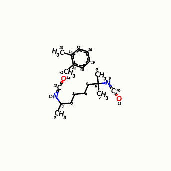 CC(CCCCC(C)(C)N=C=O)N=C=O.Cc1ccccc1C